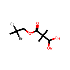 CCC(C)(CC)COC(=O)C(C)(C)C(O)O